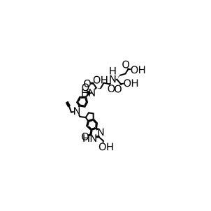 C#CCN(CC1CCc2cc3nc(CO)[nH]c(=O)c3cc21)c1ccc(C(=O)N[C@@H](CCC(=O)N[C@H](CCC(=O)O)C(=O)O)C(=O)O)cc1